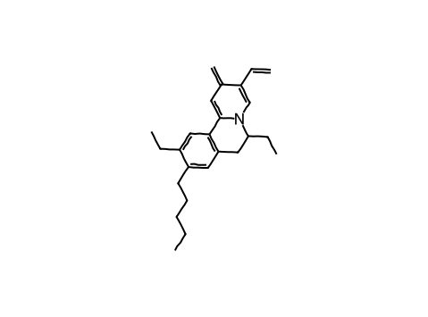 C=CC1=CN2C(=CC1=C)c1cc(CC)c(CCCCC)cc1CC2CC